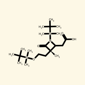 CC(C)(C)[Si](C)(C)OCC[C@]1(C)C(=O)N([Si](C)(C)C(C)(C)C)C1CC(=O)O